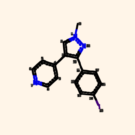 Cn1cc(-c2ccncc2)c(-c2ccc(I)cc2)n1